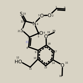 C=COON1C(=O)/C(=C\c2c(CO)cc(OC)cc2OC)SC1=S